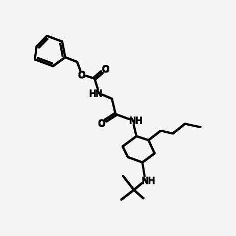 CCCCC1CC(NC(C)(C)C)CCC1NC(=O)CNC(=O)OCc1ccccc1